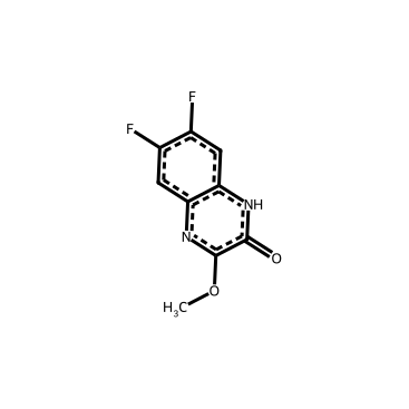 COc1nc2cc(F)c(F)cc2[nH]c1=O